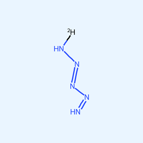 [2H]N/N=N/N=N